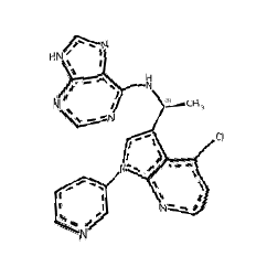 C[C@H](Nc1ncnc2[nH]cnc12)c1cn(-c2cccnc2)c2nccc(Cl)c12